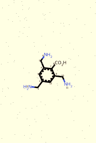 NCc1cc(CN)c(C(=O)O)c(CN)c1